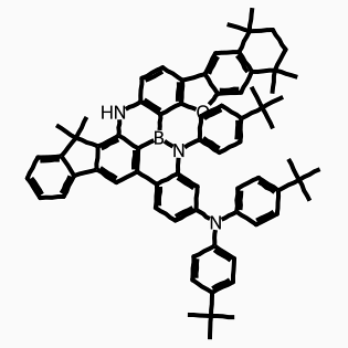 CC(C)(C)c1ccc(N2B3c4c(cc5c(c4Nc4ccc6c(oc7cc8c(cc76)C(C)(C)CCC8(C)C)c43)C(C)(C)c3ccccc3-5)-c3ccc(N(c4ccc(C(C)(C)C)cc4)c4ccc(C(C)(C)C)cc4)cc32)cc1